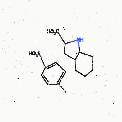 Cc1ccc(S(=O)(=O)O)cc1.O=C(O)C1CC2CCCCC2N1